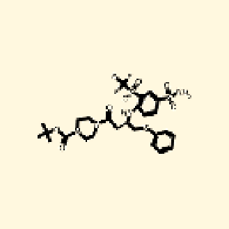 CC(C)(C)OC(=O)N1CCN(C(=O)C[C@H](CSc2ccccc2)Nc2ccc(S(N)(=O)=O)cc2S(=O)(=O)C(F)(F)F)CC1